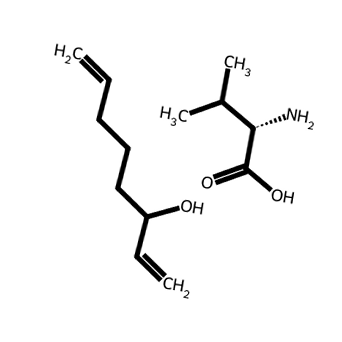 C=CCCCC(O)C=C.CC(C)[C@H](N)C(=O)O